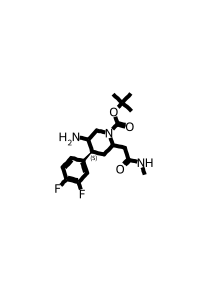 CNC(=O)CC1C[C@@H](c2ccc(F)c(F)c2)C(N)CN1C(=O)OC(C)(C)C